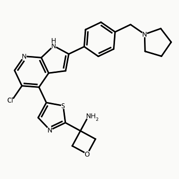 NC1(c2ncc(-c3c(Cl)cnc4[nH]c(-c5ccc(CN6CCCC6)cc5)cc34)s2)COC1